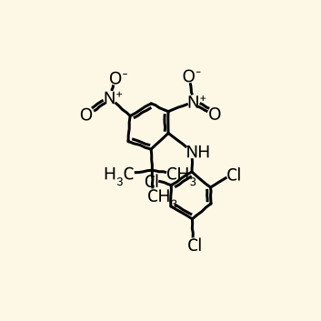 CC(C)(C)c1cc([N+](=O)[O-])cc([N+](=O)[O-])c1Nc1c(Cl)cc(Cl)cc1Cl